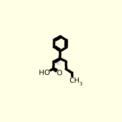 CCCC/C(=C\C(=O)O)c1ccccc1